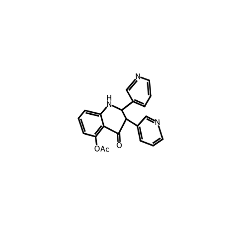 CC(=O)Oc1cccc2c1C(=O)C(c1cccnc1)C(c1cccnc1)N2